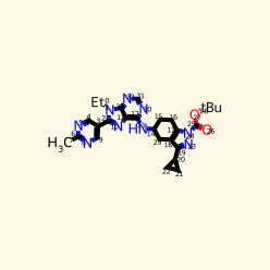 CCn1c(-c2cnc(C)nc2)nc2c(NC3CCc4c(c(C5CC5)nn4C(=O)OC(C)(C)C)C3)ncnc21